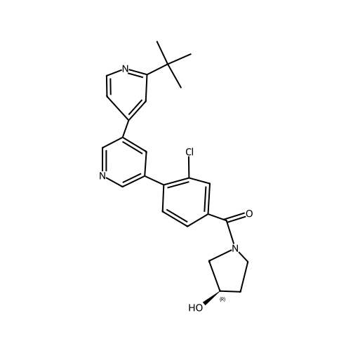 CC(C)(C)c1cc(-c2cncc(-c3ccc(C(=O)N4CC[C@@H](O)C4)cc3Cl)c2)ccn1